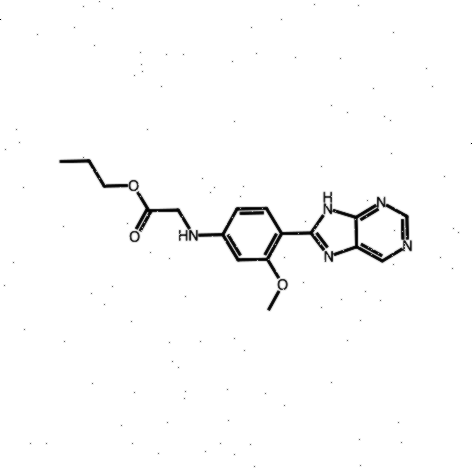 CCCOC(=O)CNc1ccc(-c2nc3cncnc3[nH]2)c(OC)c1